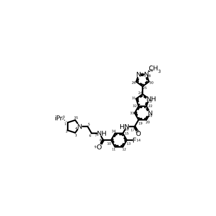 CC(C)[C@H]1CCN(CCNC(=O)c2ccc(F)c(NC(=O)c3cnc4[nH]c(-c5cnn(C)c5)cc4c3)c2)C1